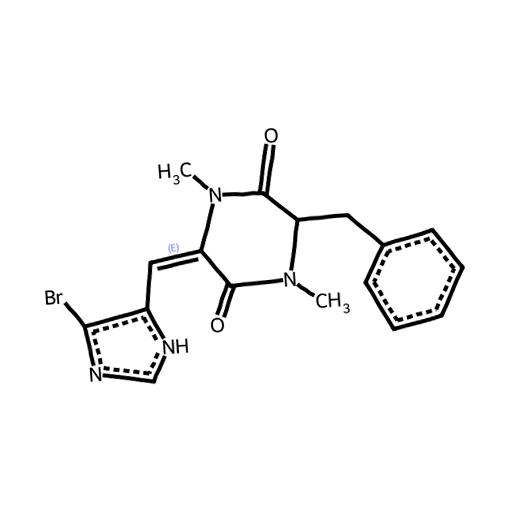 CN1C(=O)C(Cc2ccccc2)N(C)C(=O)/C1=C\c1[nH]cnc1Br